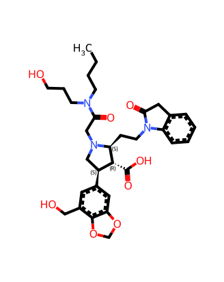 CCCCN(CCCO)C(=O)CN1C[C@H](c2cc(CO)c3c(c2)OCO3)[C@@H](C(=O)O)[C@@H]1CCN1C(=O)Cc2ccccc21